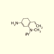 C=CC1=C(N(C)C(C)C)C=C(N)CC1